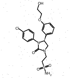 NS(=O)(=O)CCN1C[C@H](c2cccc(OCCO)c2)N(c2ccc(Cl)cc2)C1=O